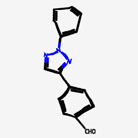 O=Cc1ccc(-c2cnn(-c3ccccc3)n2)cc1